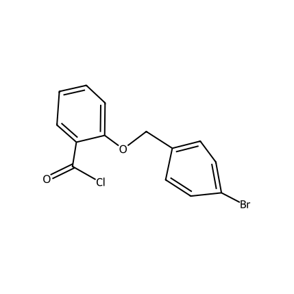 O=C(Cl)c1ccccc1OCc1ccc(Br)cc1